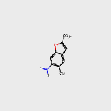 CN(C)c1cc2oc(C(=O)O)cc2cc1C#N